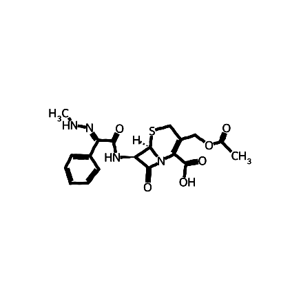 CN/N=C(/C(=O)N[C@@H]1C(=O)N2C(C(=O)O)=C(COC(C)=O)CS[C@H]12)c1ccccc1